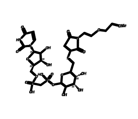 COCCOCCN1C(=O)CC(SCC2OC(OP(=O)(O)CP(=O)(O)OC[C@H]3O[C@@H](n4ccc(=O)[nH]c4=O)C(O)[C@H]3O)C(O)[C@@H](O)[C@H]2O)C1=O